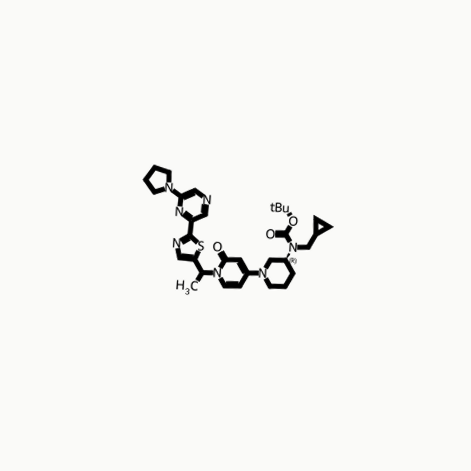 CC(c1cnc(-c2cncc(N3CCCC3)n2)s1)n1ccc(N2CCC[C@@H](N(CC3CC3)C(=O)OC(C)(C)C)C2)cc1=O